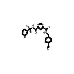 [2H]C([2H])(NC(=O)c1cc(C(=O)NCc2ccc(C#N)cc2)ncn1)c1cccc(C)c1